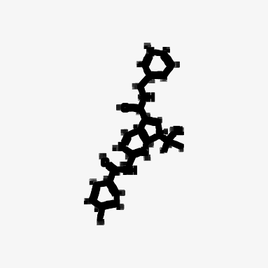 CCC(C)(C)n1cc(C(=O)NCc2cccnc2)c2cnc(NC(=O)c3ccc(C)cc3)nc21